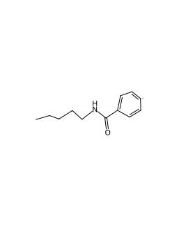 CCCCCNC(=O)c1cc[c]cc1